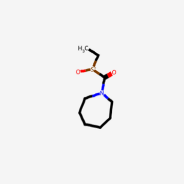 CC[S+]([O-])C(=O)N1CCCCCC1